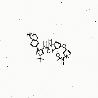 CC(=O)Nc1cc(Oc2ccc(NC(=O)Nc3cc(C(C)(C)C)nn3-c3ccc4c(c3)CCNC4)c(F)c2)ccn1